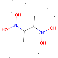 CC(C(C)N(O)O)N(O)O